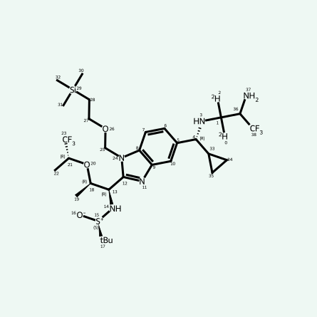 [2H]C([2H])(N[C@@H](c1ccc2c(c1)nc([C@@H](N[S@+]([O-])C(C)(C)C)[C@@H](C)O[C@H](C)C(F)(F)F)n2COCC[Si](C)(C)C)C1CC1)C(N)C(F)(F)F